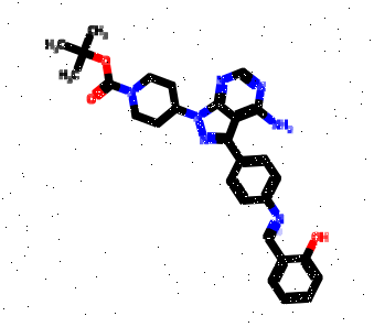 CC(C)(C)OC(=O)N1CCC(n2nc(-c3ccc(/N=C/c4ccccc4O)cc3)c3c(N)ncnc32)CC1